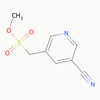 COS(=O)(=O)Cc1cncc(C#N)c1